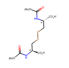 COC(=O)N[C@@H](CSSC[C@H](NC(=O)OC)C(=O)O)C(=O)O